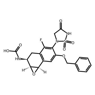 O=C(O)N[C@H]1Cc2c(cc(OCc3ccccc3)c(N3CC(=O)NS3(=O)=O)c2F)[C@H]2O[C@@H]12